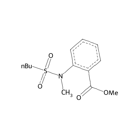 CCCCS(=O)(=O)N(C)c1ccccc1C(=O)OC